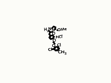 COC[C@H]1CCCN1C(=O)C(CN)Cc1ccc(OCCOc2c(Cl)cc(C)cc2Cl)cc1.Cl